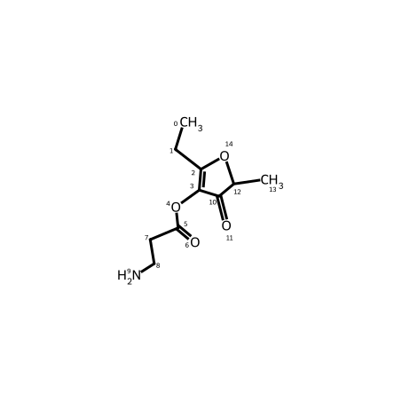 CCC1=C(OC(=O)CCN)C(=O)C(C)O1